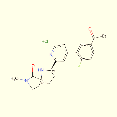 CCC(=O)c1ccc(F)c(-c2ccnc([C@H]3CC[C@@]4(CCN(C)C4=O)N3)c2)c1.Cl